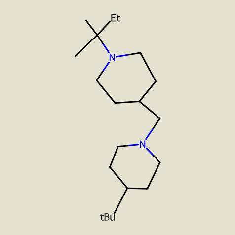 CCC(C)(C)N1CCC(CN2CCC(C(C)(C)C)CC2)CC1